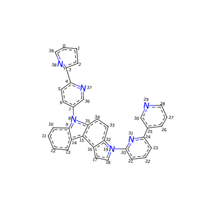 c1ccc(-c2ccc(-n3c4ccccc4c4c5ccn(-c6cccc(-c7cccnc7)n6)c5ccc43)cn2)nc1